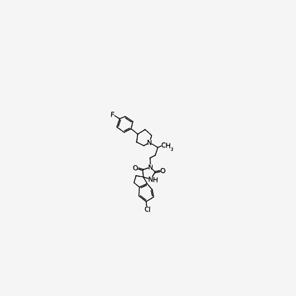 CC(CCN1C(=O)NC2(CCc3cc(Cl)ccc32)C1=O)N1CCC(c2ccc(F)cc2)CC1